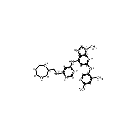 Cc1cc(C#N)ncc1Oc1cc(Nc2cc(NCC3COCCCO3)ncn2)c2ncn(C)c2n1